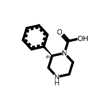 O=C(O)N1CCNC[C@H]1c1ccccc1